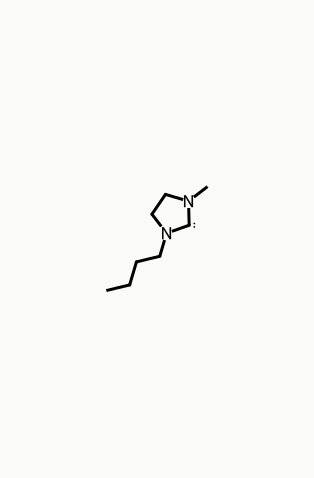 CCCCN1[C]N(C)CC1